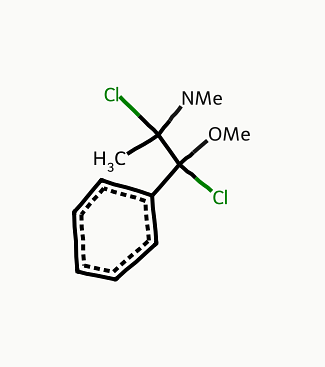 CNC(C)(Cl)C(Cl)(OC)c1ccccc1